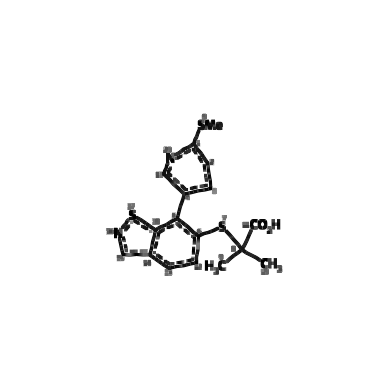 CSc1ccc(-c2c(SC(C)(C)C(=O)O)ccc3cnsc23)cn1